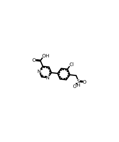 O=C(O)c1cc(-c2ccc(C[SH](=O)=O)c(Cl)c2)ncn1